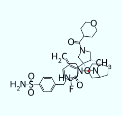 C=CCN(C(=O)NCc1ccc(S(N)(=O)=O)cc1)C1CC2CCC(C1)N2O[C@]1(c2cccc(F)c2)CN(C(=O)C2CCOCC2)C[C@@H]1C